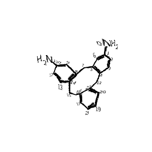 Nc1ccc2c(c1)Cc1cc(N)ccc1Cc1ccccc1C2